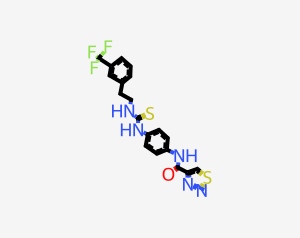 O=C(Nc1ccc(NC(=S)NCCc2cccc(C(F)(F)F)c2)cc1)c1csnn1